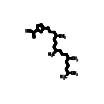 CC(C)CCCC(C)CCCC(C)CCCC(C)CCOc1ccc(C(=O)O)o1